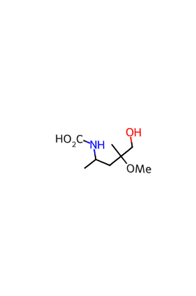 COC(C)(CO)CC(C)NC(=O)O